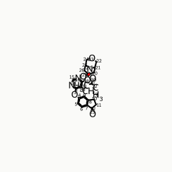 Cc1c(Oc2ccc3c(c2)CCC3=O)ncnc1OC1CC2COCC(C1)N2C(=O)OC(C)C